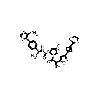 Cc1ncsc1-c1ccc(C(C)NC(=O)[C@@H]2C[C@@H](O)CN2C(=O)C(c2cc(C34CC(C5OCCO5)(C3)C4)no2)C(C)C)cc1